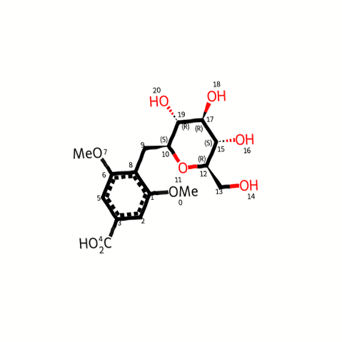 COc1cc(C(=O)O)cc(OC)c1C[C@@H]1O[C@H](CO)[C@@H](O)[C@H](O)[C@H]1O